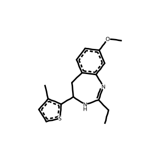 CCC1=Nc2cc(OC)ccc2CC(c2sccc2C)N1